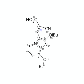 CCOc1cccn2c(/C=C(\C#N)C(=O)O)c(OCC(C)C)nc12